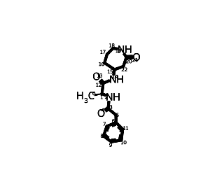 C[C@H](NC(=O)Cc1ccccc1)C(=O)NC1CCCNC(=O)C1